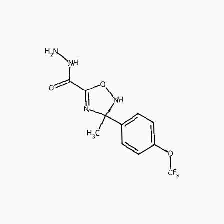 CC1(c2ccc(OC(F)(F)F)cc2)N=C(C(=O)NN)ON1